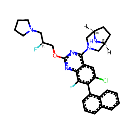 Fc1c(-c2cccc3ccccc23)c(Cl)cc2c(N3C[C@H]4CC[C@@H](C3)N4)nc(OC[C@@H](F)CN3CCCC3)nc12